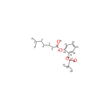 CC(C)CCCCC(=O)Oc1ccccc1OC(=O)C(C)C